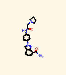 NC(=O)c1cccc2cn(-c3ccc(NC(=O)CN4CCCC4)cc3)nc12